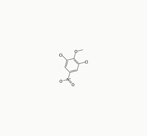 COc1c(Cl)cc([N+](=O)[O-])cc1Cl